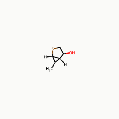 C[C@H]1[C@@H]2SC[C@@H](O)[C@H]12